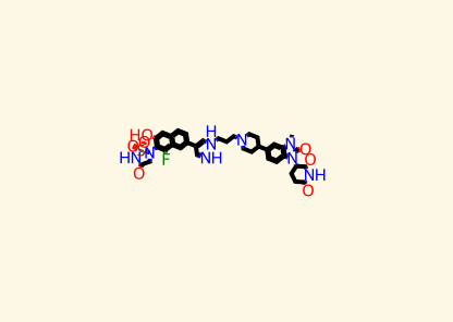 Cn1c(=O)n(C2CCC(=O)NC2=O)c2ccc(C3CCN(CCCN/C=C(\C=N)c4ccc5cc(O)c(N6CC(=O)NS6(=O)=O)c(F)c5c4)CC3)cc21